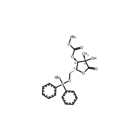 CC(C)(C)OC(=O)O[C@@H]1[C@@H](CO[Si](c2ccccc2)(c2ccccc2)C(C)(C)C)OC(=O)[C@@]1(C)O